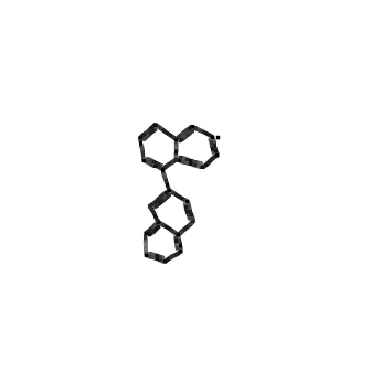 [c]1ccc2c(-c3ccc4ccccc4c3)cccc2c1